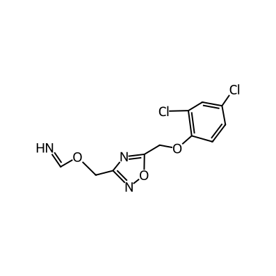 N=COCc1noc(COc2ccc(Cl)cc2Cl)n1